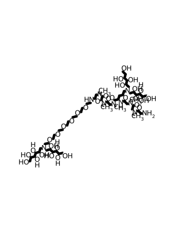 CN(CC(=O)NCCOCCOCCOCCOCCOCCOCCN(C[C@H](O)[C@@H](O)[C@H](O)[C@H](O)CO)C[C@H](O)[C@@H](O)[C@H](O)[C@H](O)CO)C(=O)CN(C)C(=O)CN(C)C(=O)C(CCCN(C[C@H](O)[C@@H](O)[C@H](O)[C@H](O)CO)C[C@H](O)[C@@H](O)[C@H](O)CCO)NC(=O)CN(C)C(=O)CN(C)C(=O)CN